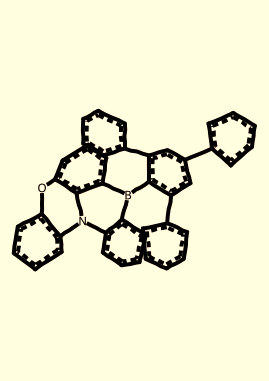 c1ccc(-c2cc(-c3ccccc3)c(B3c4ccccc4N4c5ccccc5Oc5cccc3c54)c(-c3ccccc3)c2)cc1